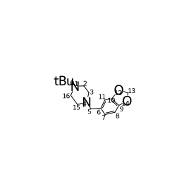 CC(C)(C)N1CCN(Cc2ccc3c(c2)OCO3)CC1